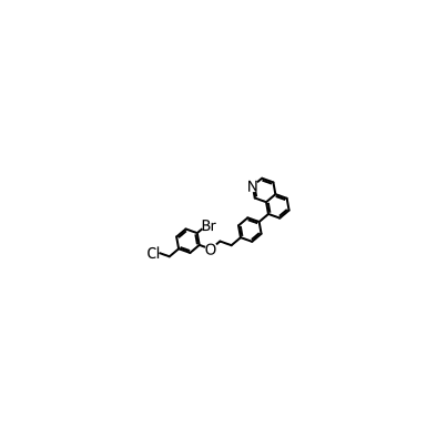 ClCc1ccc(Br)c(OCCc2ccc(-c3cccc4ccncc34)cc2)c1